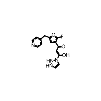 O=C(C=C(O)N1C=CNN1)c1cc(Cc2ccncc2)oc1F